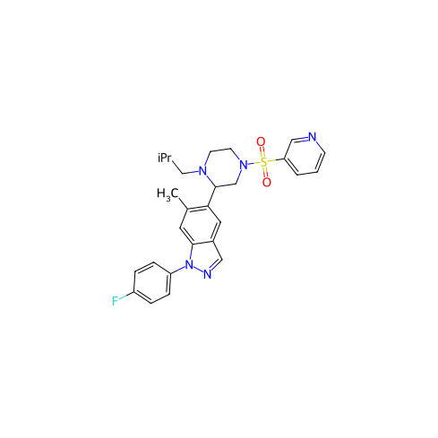 Cc1cc2c(cnn2-c2ccc(F)cc2)cc1C1CN(S(=O)(=O)c2cccnc2)CCN1CC(C)C